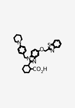 O=C(O)C1CCCCC1c1nc2cc(OCc3nc4ccccc4s3)ccc2n1Cc1ccc(N2CCCCC2)cc1